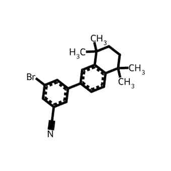 CC1(C)CCC(C)(C)c2cc(-c3cc(Br)cc(C#N)c3)ccc21